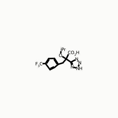 CC(C)OC(Cc1ccc(C(F)(F)F)cc1)(C(=O)O)c1nn[nH]n1